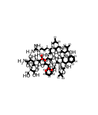 CC[C@H](C)[C@H](NC(=O)[C@@H](CCCNC(=N)N)NC(=O)[C@H](CC(C)C)NC(=O)[C@@H](NC(=O)[C@@H](NC(=O)OCc1ccccc1)[C@H](NC(=O)OC(C)(C)C)c1ccccc1)[C@H](O)C(C)C)C(=O)N[C@H](C(=O)N[C@H](C)C(=O)N[C@H](C(=O)N[C@@H](CO)C(=O)O)[C@H](O)C(N)=O)[C@H](C)O